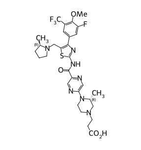 COc1c(F)cc(-c2nc(NC(=O)c3cnc(N4CCN(CCC(=O)O)C[C@H]4C)cn3)sc2CN2CCC[C@H]2C)cc1C(F)(F)F